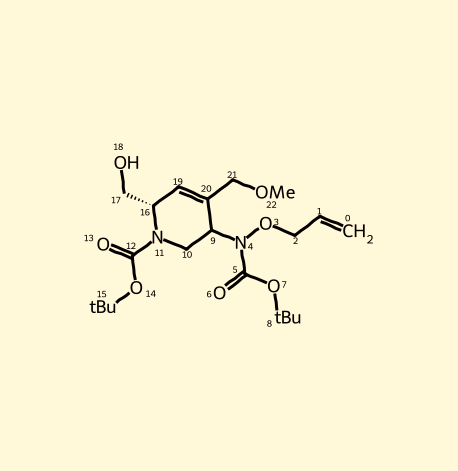 C=CCON(C(=O)OC(C)(C)C)C1CN(C(=O)OC(C)(C)C)[C@H](CO)C=C1COC